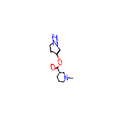 CN1CCCC(C(=O)OC2CCNC2)C1